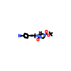 CC(C)(C)OC(=O)N1CCN2C(=O)N(C(C)(C)C#Cc3ccc(C#N)cc3)C[C@@H]2C1